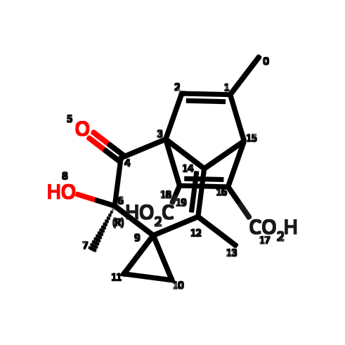 CC1=CC23C(=O)[C@](C)(O)C4(CC4)C(C)=C2C1C(C(=O)O)=C3C(=O)O